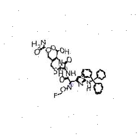 NC(=O)OCC1=C(C(=O)O)N2C(=O)[C@@H](NC(=O)/C(=N\OCF)c3csc(NC(c4ccccc4)(c4ccccc4)c4ccccc4)n3)[C@H]2SC1